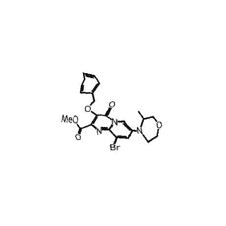 COC(=O)c1nc2c(Br)cc(N3CCOCC3C)cn2c(=O)c1OCc1ccccc1